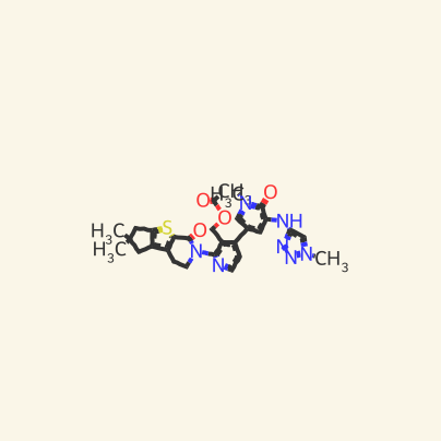 CC(=O)OCc1c(-c2cc(Nc3cn(C)nn3)c(=O)n(C)c2)ccnc1N1CCc2c(sc3c2CC(C)(C)C3)C1=O